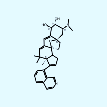 CN(C)[C@H]1C[C@@]23CC[C@@]4(O2)C(=CC(C)(C)[C@]2(C)C(c5cccc6ccncc56)=CCC42)C=C3[C@@H](O)[C@@H]1O